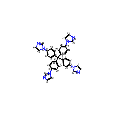 c1cn(-c2ccc(C(c3ccc(-n4ccnc4)cc3)(c3ccc(-n4ccnc4)cc3)c3ccc(-n4ccnc4)cc3)cc2)cn1